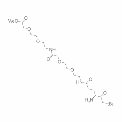 COC(=O)COCCOCCNC(=O)COCCOCCNC(=O)CC[C@H](N)C(=O)CC(C)(C)C